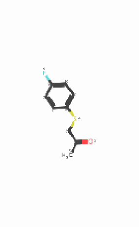 CC(=O)CSc1ccc(F)cc1